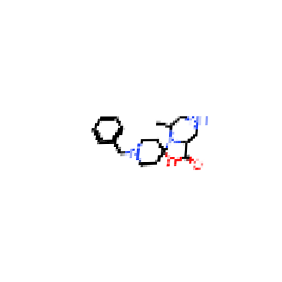 CC1CNCC2C(=O)OC3(CCN(Cc4ccccc4)CC3)N12